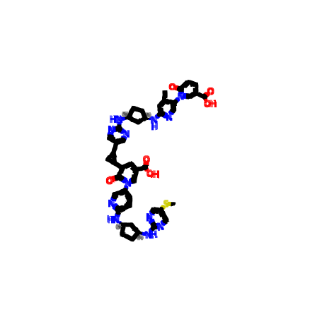 CSc1cnc(N[C@H]2CC[C@H](Nc3ccc(-n4cc(C(=O)O)cc(C5CC5c5cnc(N[C@H]6CC[C@H](Nc7cc(C)c(-n8cc(C(=O)O)ccc8=O)cn7)C6)nc5)c4=O)cn3)C2)nc1